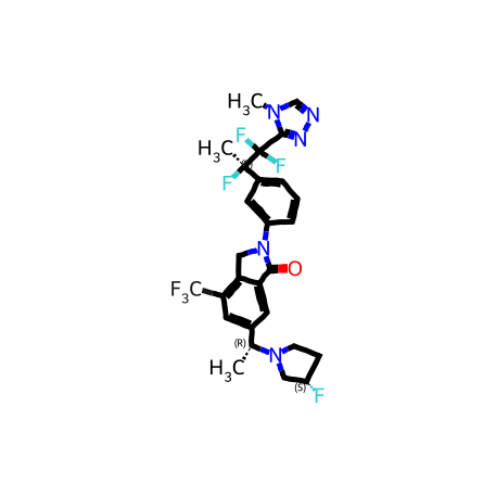 C[C@H](c1cc2c(c(C(F)(F)F)c1)CN(c1cccc([C@@](C)(F)C(F)(F)c3nncn3C)c1)C2=O)N1CC[C@H](F)C1